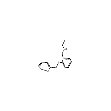 CCNCc1ccccc1OCC1=CC=C[C][C]1